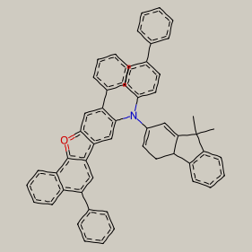 CC1(C)C2=CC(N(c3ccc(-c4ccccc4)cc3)c3cc4c(cc3-c3ccccc3)oc3c5ccccc5c(-c5ccccc5)cc43)=CCC2c2ccccc21